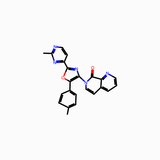 Cc1ccc(-c2oc(-c3ccnc(C)n3)nc2-n2ccc3cccnc3c2=O)cc1